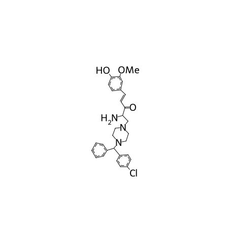 COc1cc(C=CC(=O)C(N)CN2CCN(C(c3ccccc3)c3ccc(Cl)cc3)CC2)ccc1O